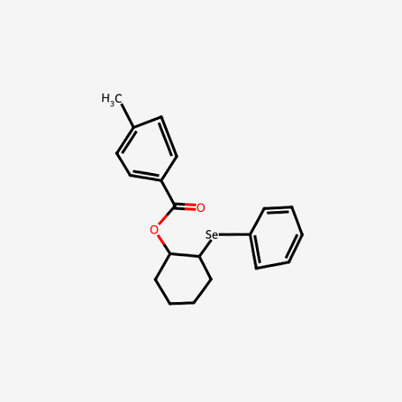 Cc1ccc(C(=O)OC2CCCCC2[Se]c2ccccc2)cc1